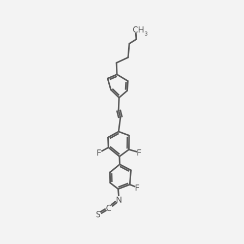 CCCCCc1ccc(C#Cc2cc(F)c(-c3ccc(N=C=S)c(F)c3)c(F)c2)cc1